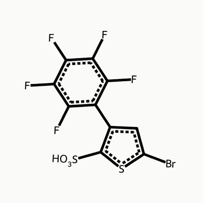 O=S(=O)(O)c1sc(Br)cc1-c1c(F)c(F)c(F)c(F)c1F